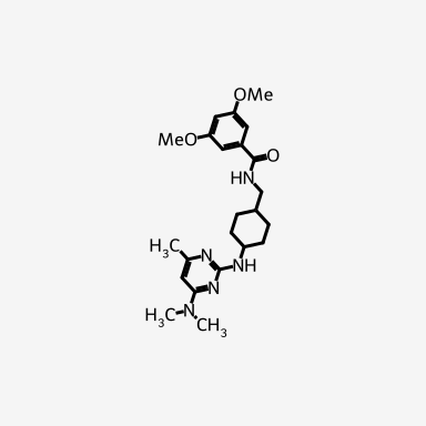 COc1cc(OC)cc(C(=O)NCC2CCC(Nc3nc(C)cc(N(C)C)n3)CC2)c1